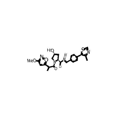 COc1cc(C(C)C(=O)N2C[C@H](O)C[C@H]2C(=O)NCc2ccc(-c3scnc3C)cc2)on1